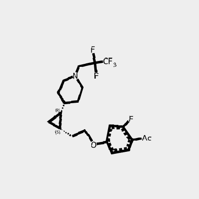 CC(=O)c1ccc(OCC[C@@H]2C[C@@H]2C2CCN(CC(F)(F)C(F)(F)F)CC2)cc1F